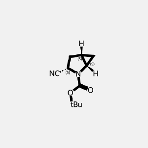 CC(C)(C)OC(=O)N1[C@H](C#N)C[C@@H]2C[C@@H]21